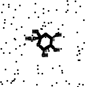 O=C(O)C1(O)C[C@H](O)C(O)[C@H](O)O1